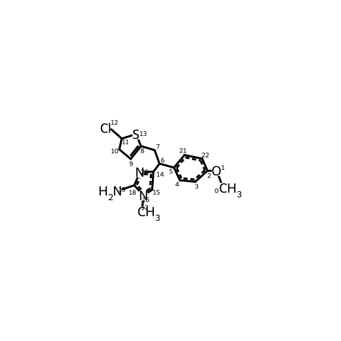 COc1ccc(C(CC2=CCC(Cl)S2)c2cn(C)c(N)n2)cc1